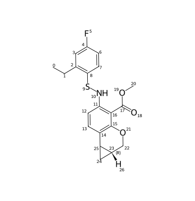 CCc1cc(F)ccc1SNc1ccc2c(c1C(=O)OC)OC[C@@H]1CC21